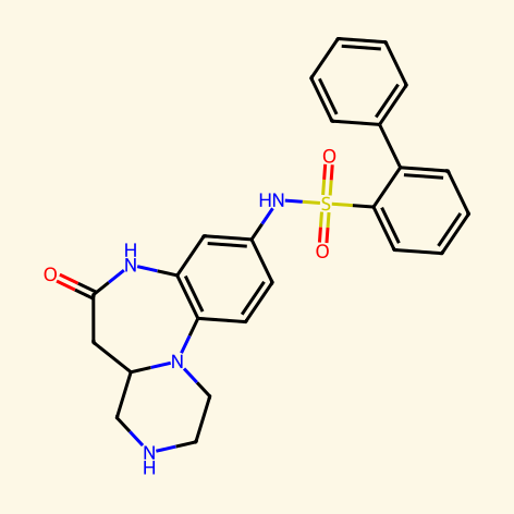 O=C1CC2CNCCN2c2ccc(NS(=O)(=O)c3ccccc3-c3ccccc3)cc2N1